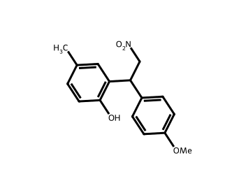 COc1ccc(C(C[N+](=O)[O-])c2cc(C)ccc2O)cc1